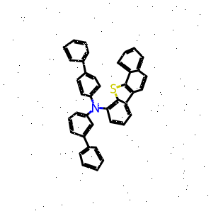 c1ccc(-c2ccc(N(c3cccc(-c4ccccc4)c3)c3cccc4c3sc3c5ccccc5ccc43)cc2)cc1